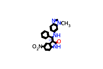 Cn1cnc2ccc(N/C(=C3\C(=O)Nc4ccc([N+](=O)[O-])cc43)c3ccccc3)cc21